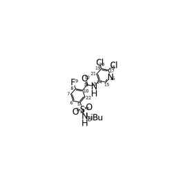 CC[C@@H](C)NS(=O)(=O)c1ccc(F)c(C(=O)Nc2cnc(Cl)c(Cl)c2)c1